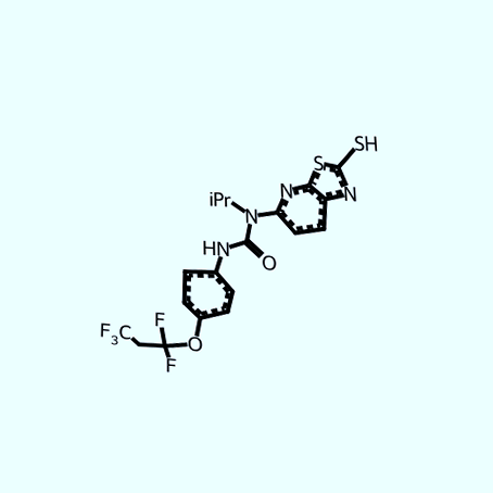 CC(C)N(C(=O)Nc1ccc(OC(F)(F)CC(F)(F)F)cc1)c1ccc2nc(S)sc2n1